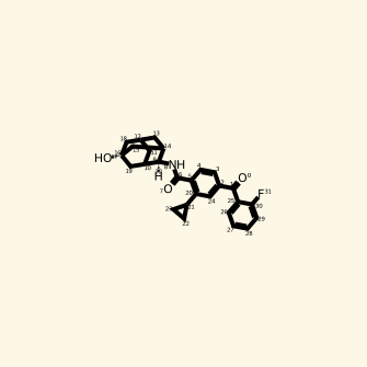 O=C(c1ccc(C(=O)N[C@H]2C3CC4CC2C[C@](O)(C4)C3)c(C2CC2)c1)c1ccccc1F